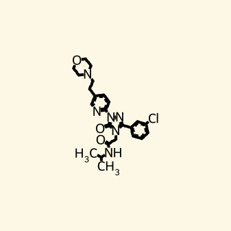 CC(C)NC(=O)Cn1c(-c2cccc(Cl)c2)nn(-c2ccc(CCN3CCOCC3)cn2)c1=O